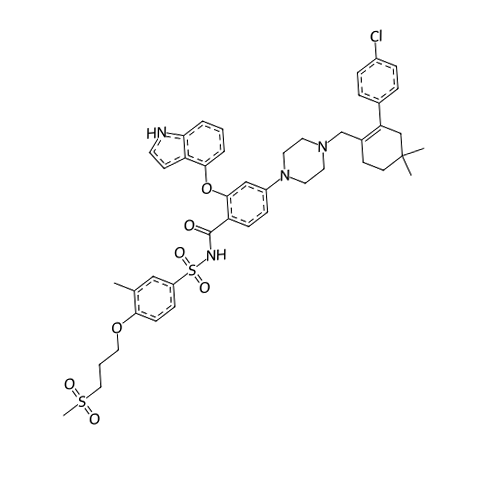 Cc1cc(S(=O)(=O)NC(=O)c2ccc(N3CCN(CC4=C(c5ccc(Cl)cc5)CC(C)(C)CC4)CC3)cc2Oc2cccc3[nH]ccc23)ccc1OCCCS(C)(=O)=O